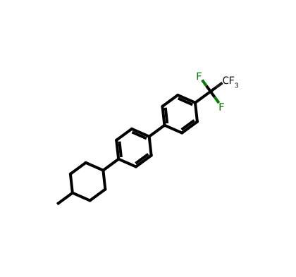 CC1CCC(c2ccc(-c3ccc(C(F)(F)C(F)(F)F)cc3)cc2)CC1